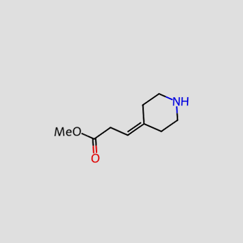 COC(=O)CC=C1CCNCC1